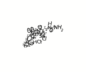 Cl.NCC(=O)NCCCC(=O)N(C[C@H]1CN(c2ccc(N3CCOCC3=O)cc2F)C(=O)O1)C(=O)c1ccc(Cl)s1